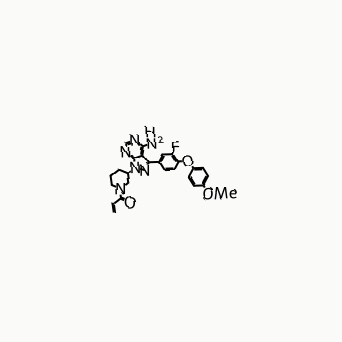 C=CC(=O)N1CCC[C@@H](n2nc(-c3ccc(Oc4ccc(OC)cc4)c(F)c3)c3c(N)ncnc32)C1